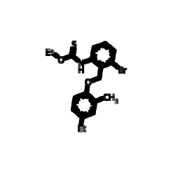 CCOC(=S)Nc1cccc(Br)c1COc1ccc(CC)cc1C